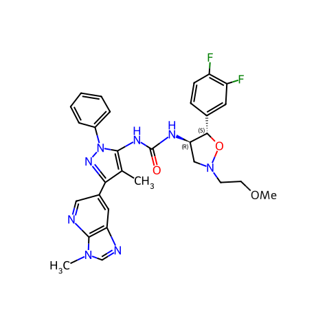 COCCN1C[C@@H](NC(=O)Nc2c(C)c(-c3cnc4c(c3)ncn4C)nn2-c2ccccc2)[C@H](c2ccc(F)c(F)c2)O1